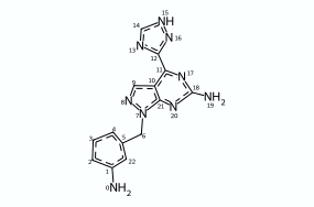 Nc1cccc(Cn2ncc3c(-c4nc[nH]n4)nc(N)nc32)c1